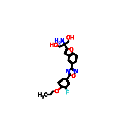 CCCOc1ccc(-c2nc(-c3ccc4oc(C(N)(CO)CO)cc4c3)no2)cc1F